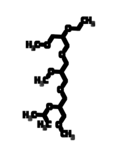 CCOC(COC)COCC(COCC(COC)OC(C)C)OC